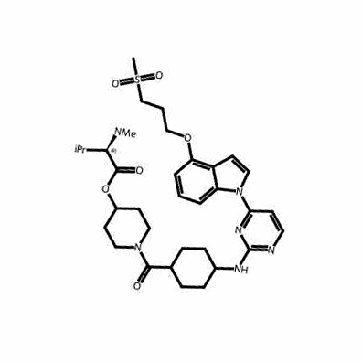 CN[C@@H](C(=O)OC1CCN(C(=O)C2CCC(Nc3nccc(-n4ccc5c(OCCCS(C)(=O)=O)cccc54)n3)CC2)CC1)C(C)C